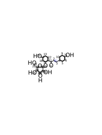 O=C(/C=C/c1ccc(O)cc1)c1ccc(O)cc1O[C@H]1O[C@@H](CO)[C@@H](O)[C@@H](O)[C@@H]1O